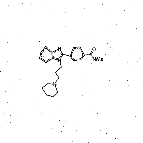 CNC(=O)c1ccc(-c2nc3ccccc3n2CCCN2CCCCC2)cc1